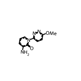 COc1ccc(-n2cccc(N)c2=O)nn1